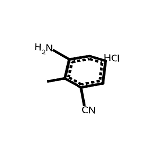 Cc1c(N)cccc1C#N.Cl